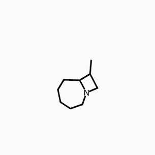 CC1CN2CCCCCC12